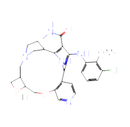 COc1c(Cl)cccc1Nc1c2[nH]c3c1C(=O)NC[C@]31CCN(CC3CO[C@@H]3COc3cnccc3-2)C1